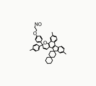 Cc1ccc(C2(c3ccc(OCCN=O)cc3)C=Cc3c4c(c5ccc(C)cc5c3O2)-c2ccc(C)cc2C42CCC3(CCCCC3)CC2)cc1